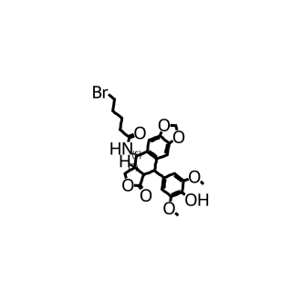 COc1cc(C2c3cc4c(cc3[C@@H](NC(=O)CCCCBr)[C@H]3COC(=O)C23)OCO4)cc(OC)c1O